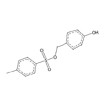 Cc1ccc(S(=O)(=O)OCc2ccc(O)cc2)cc1